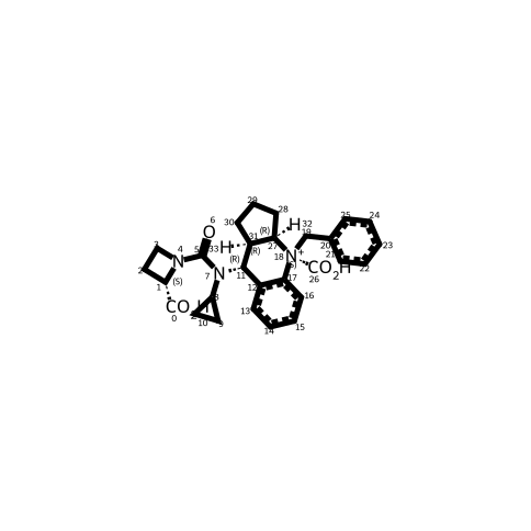 O=C(O)[C@@H]1CCN1C(=O)N(C1CC1)[C@H]1c2ccccc2[N@@+](Cc2ccccc2)(C(=O)O)[C@@H]2CCC[C@@H]21